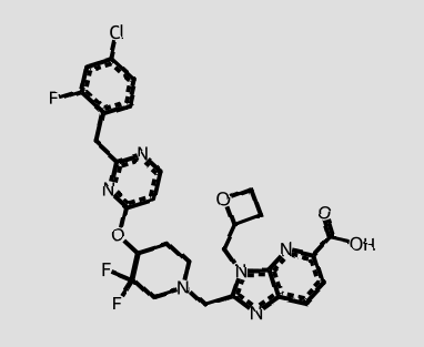 O=C(O)c1ccc2nc(CN3CCC(Oc4ccnc(Cc5ccc(Cl)cc5F)n4)C(F)(F)C3)n(CC3CCO3)c2n1